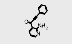 Nc1ncccc1C(=O)C#Cc1ccccc1